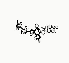 CCCCCCCCCCC(CCCCCCCC)Cn1c(=O)c2cc(C)sc2c2sc(-c3cnc(-c4ncc(C)s4)s3)cc2c1=O